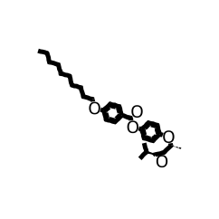 CCCCCCCCCCOc1ccc(C(=O)Oc2ccc(O[C@H](C)[C@@H]3O[C@H]3C(C)C)cc2)cc1